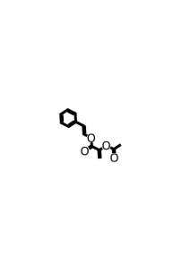 C=C(OC(C)=O)C(=O)OC=Cc1ccccc1